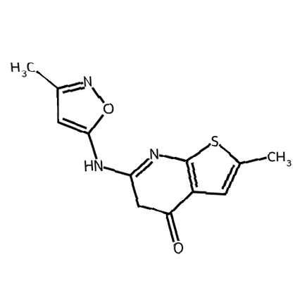 Cc1cc(NC2=Nc3sc(C)cc3C(=O)C2)on1